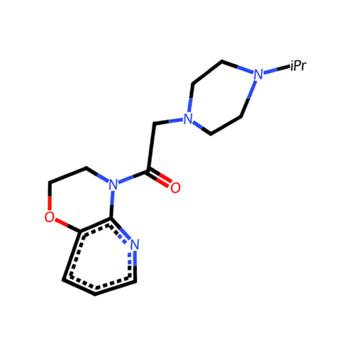 CC(C)N1CCN(CC(=O)N2CCOc3cccnc32)CC1